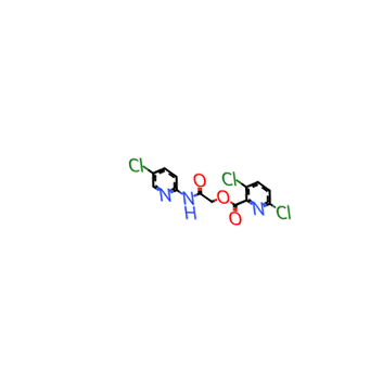 O=C(COC(=O)c1nc(Cl)ccc1Cl)Nc1ccc(Cl)cn1